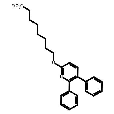 CCOC(=O)CCCCCCCOc1ccc(-c2ccccc2)c(-c2ccccc2)n1